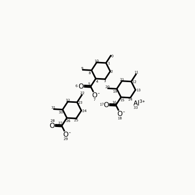 CC1CCC(C(=O)[O-])C(C)C1.CC1CCC(C(=O)[O-])C(C)C1.CC1CCC(C(=O)[O-])C(C)C1.[Al+3]